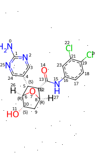 Nc1ncc([C@H]2[C@H]3O[C@H](C[C@@H]3O)[C@H]2C(=O)Nc2ccc(Cl)c(Cl)c2)cn1